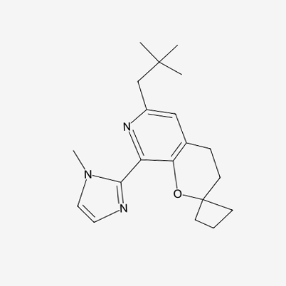 Cn1ccnc1-c1nc(CC(C)(C)C)cc2c1OC1(CCC1)CC2